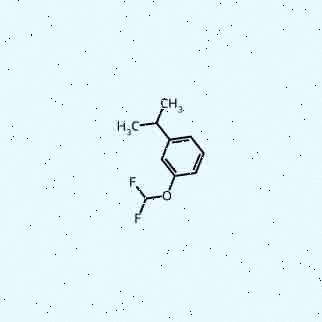 CC(C)c1cccc(OC(F)F)c1